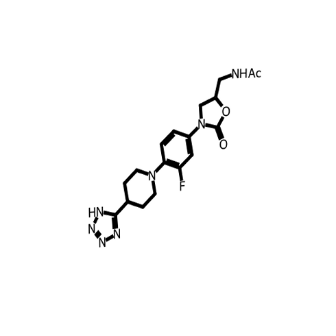 CC(=O)NCC1CN(c2ccc(N3CCC(c4nnn[nH]4)CC3)c(F)c2)C(=O)O1